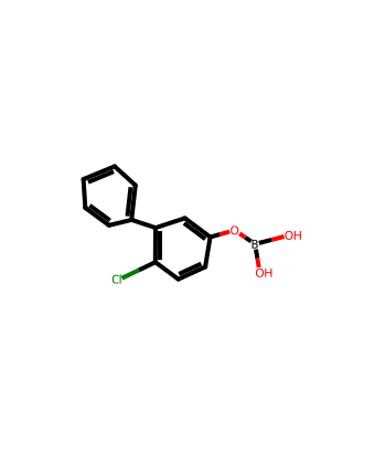 OB(O)Oc1ccc(Cl)c(-c2ccccc2)c1